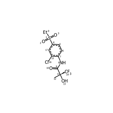 CCS(=O)(=O)c1ccc(NC(=O)[C@@](C)(O)C(F)(F)F)c(Cl)c1